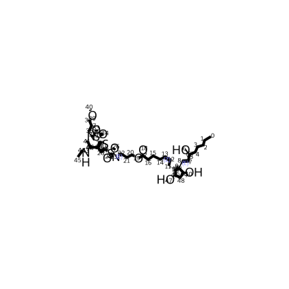 CCCCC[C@H](O)/C=C/[C@@H]1[C@@H](C/C=C\CCCC(=O)OCC/C=N/S(=O)(=O)c2cc3c(s2)S(=O)(=O)N(CCCOC)C[C@@H]3NCC)[C@@H](O)C[C@H]1O